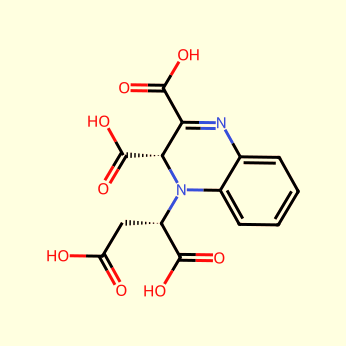 O=C(O)C[C@@H](C(=O)O)N1c2ccccc2N=C(C(=O)O)[C@H]1C(=O)O